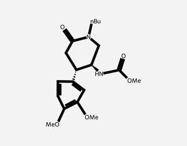 CCCCN1C[C@@H](NC(=O)OC)[C@H](c2ccc(OC)c(OC)c2)CC1=O